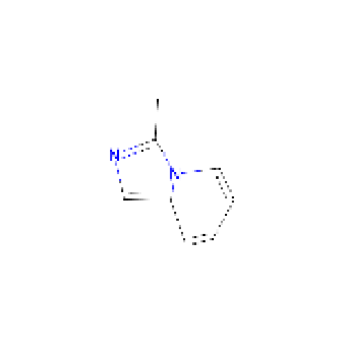 [CH2]c1ncc2ccccn12